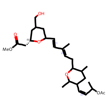 COC(=O)C[C@@H]1CC(CO)CC(/C=C/C(C)=C/CC2OC(C)C(/C=C\C(C)OC(C)=O)CC2C)O1